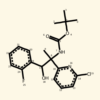 CC(C)(C)OC(=O)NC(C)(c1cccc(Cl)n1)C(O)c1ccccc1F